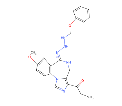 CCC(=O)c1ncn2c1CN/C(=N\NNCOc1ccccc1)c1cc(OC)ccc1-2